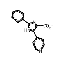 O=C(O)c1nc(-c2ccccc2)[nH]c1-c1ccncc1